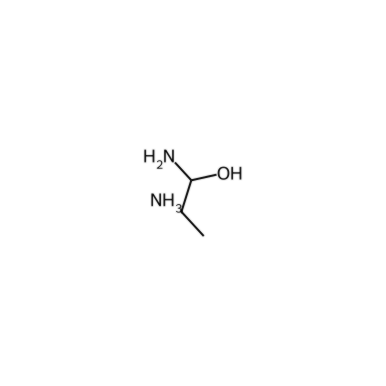 CCC(N)O.N